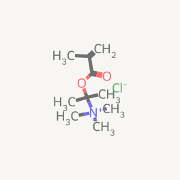 C=C(C)C(=O)OC(C)(C)[N+](C)(C)C.[Cl-]